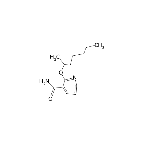 CCCCCC(C)Oc1ncccc1C(N)=O